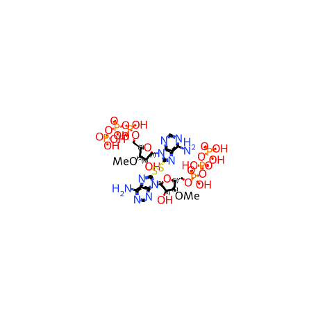 CO[C@H]1[C@@H](O)[C@H](n2c(SSc3nc4c(N)ncnc4n3[C@@H]3O[C@H](COP(=O)(O)OP(=O)(O)OP(=O)(O)O)[C@@H](OC)[C@H]3O)nc3c(N)ncnc32)O[C@@H]1COP(=O)(O)OP(=O)(O)OP(=O)(O)O